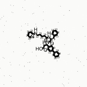 O=C(O)CC(NC(=O)[C@H](Cc1ccccc1)NC(=O)CCCCNc1ccccn1)c1ccc(-c2ccccc2)cc1